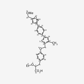 CCOC(Cc1ccc(OCc2sc(-c3ccc(-c4cc(COC)on4)cc3)cc2C)cc1)C(=O)O